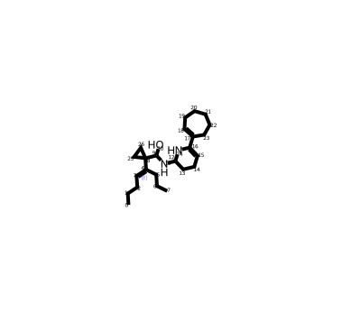 CCC/C=C(\CCC)C1(C(O)NC2CCC=C(C3=CCCCCC3)N2)CC1